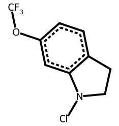 FC(F)(F)Oc1ccc2c(c1)N(Cl)CC2